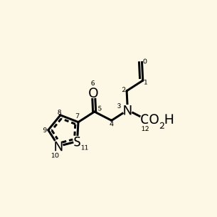 C=CCN(CC(=O)c1ccns1)C(=O)O